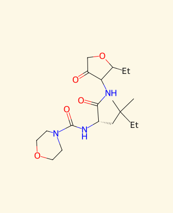 CCC1OCC(=O)C1NC(=O)[C@H](CC(C)(C)CC)NC(=O)N1CCOCC1